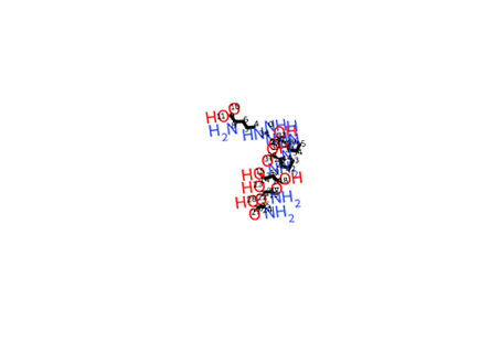 N=C(N)NCCCC(N)C(=O)O.NC(CO)C(=O)O.NCC(=O)O.NCC(=O)O.O=C(O)[C@@H]1CCCN1.O=C(O)[C@@H]1CCCN1